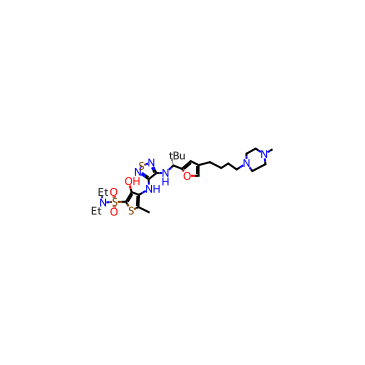 CCN(CC)S(=O)(=O)c1sc(C)c(Nc2nsnc2N[C@@H](c2cc(CCCCN3CCN(C)CC3)co2)C(C)(C)C)c1O